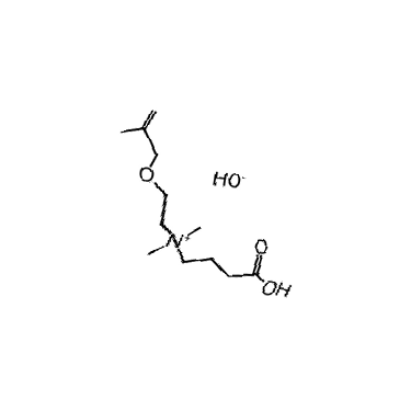 C=C(C)COCC[N+](C)(C)CCCC(=O)O.[OH-]